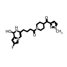 Cn1ccc(C(=O)C2CCN(C(=O)CCCC3=Cn4cc(F)cc4C(O)N3)CC2)n1